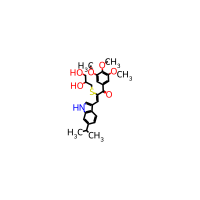 COc1cc(C(=O)/C(=C/c2c[nH]c3cc(C(C)C)ccc23)SCC(O)CO)cc(OC)c1OC